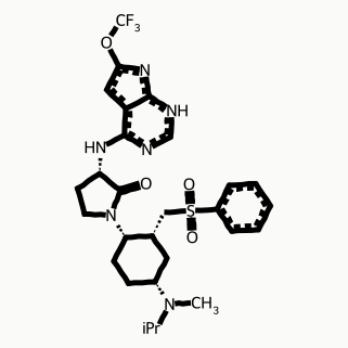 CC(C)N(C)[C@@H]1CC[C@H](N2CC[C@H](Nc3nc[nH]c4nc(OC(F)(F)F)cc3-4)C2=O)[C@H](CS(=O)(=O)c2ccccc2)C1